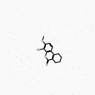 COc1ccc2c3c(c(=O)oc2c1O)CCCC3